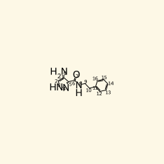 Nc1c[nH]nc1C(=O)NCCc1ccccc1